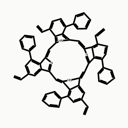 C=Cc1cc(-c2ccccc2)c2c(c1)-c1cc3[nH]c(cc4nc(cc5[nH]c(cc-2n1)c1c(C=C)ccc(-c2ccccc2)c51)-c1c(C=C)ccc(-c2ccccc2)c1-4)c1cc(C=C)cc(-c2ccccc2)c31